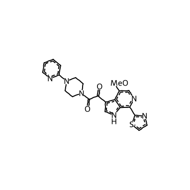 COc1cnc(-c2nccs2)c2[nH]cc(C(=O)C(=O)N3CCN(c4ccccn4)CC3)c12